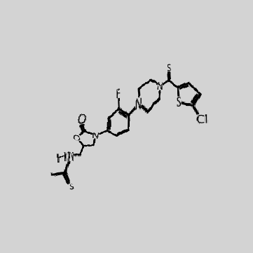 CC(=S)NCC1CN(c2ccc(N3CCN(C(=S)c4ccc(Cl)s4)CC3)c(F)c2)C(=O)O1